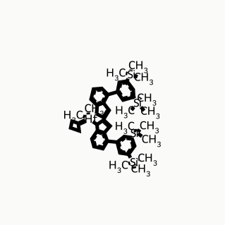 C[Si](C)(C)c1cc(-c2cccc3c2C=C[CH]3[Hf]([CH3])([CH3])(=[C]2CCC2)[CH]2C=Cc3c(-c4cc([Si](C)(C)C)cc([Si](C)(C)C)c4)cccc32)cc([Si](C)(C)C)c1